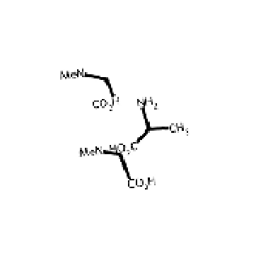 CC(N)C(=O)O.CNCC(=O)O.CNCC(=O)O